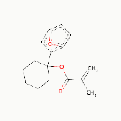 C=C(C)C(=O)OC1(c2cc3ccc2o3)CCCCC1